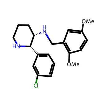 COc1ccc(OC)c(CN[C@H]2CCCN[C@H]2c2cccc(Cl)c2)c1